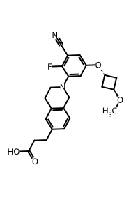 CO[C@H]1C[C@H](Oc2cc(C#N)c(F)c(N3CCc4cc(CCC(=O)O)ccc4C3)c2)C1